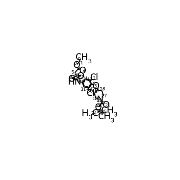 CCOC(=O)CS(=O)(=O)Nc1cc(Cl)c(OC2CCN(C(=O)OC(C)(C)C)CC2)c(Cl)c1